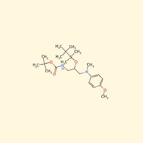 COc1ccc(N(C)CC(CNC(=O)OC(C)(C)C)O[Si](C)(C)C(C)(C)C)cc1